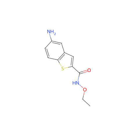 CCONC(=O)c1cc2cc(N)ccc2s1